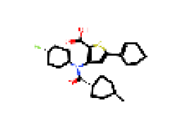 C[C@H]1CC[C@H](C(=O)N(c2cc(C3=CCCCC3)sc2C(=O)O)[C@H]2CC[C@H](F)CC2)CC1